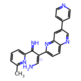 Cc1cccc(C(=N)/C(=C\N)c2ccc3ncc(-c4ccncc4)cc3n2)n1